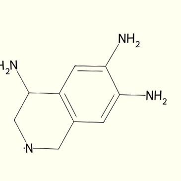 Nc1cc2c(cc1N)C(N)C[N]C2